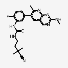 CNc1ncc2cc(-c3ccc(F)c(NC(=O)NCCC(C)(C)C#N)c3)c(C)nc2n1